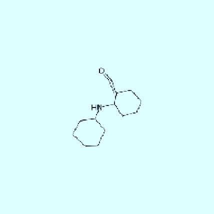 O=C=C1CCCCC1NC1CCCCC1